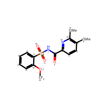 COc1ccc(C(=O)NS(=O)(=O)c2ccccc2OC(F)(F)F)nc1OC